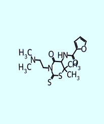 CN(C)CCN1C(=O)C(NC(=O)c2ccco2)C(C)(C)SC1=S